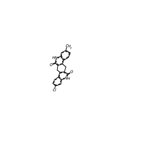 Cc1ccc2c3c(c(=O)[nH]c2c1)Cc1c(c(=O)[nH]c2cc(Cl)ccc12)C3